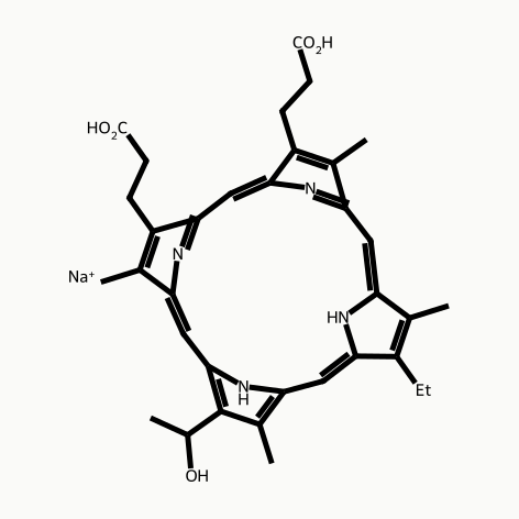 CCc1c(C)c2cc3nc(cc4nc(cc5[nH]c(cc1[nH]2)c(C)c5C(C)O)C(C)=C4CCC(=O)O)C(CCC(=O)O)=C3C.[Na+]